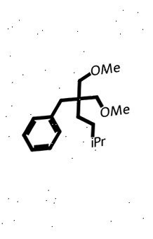 COCC(CCC(C)C)(COC)Cc1ccccc1